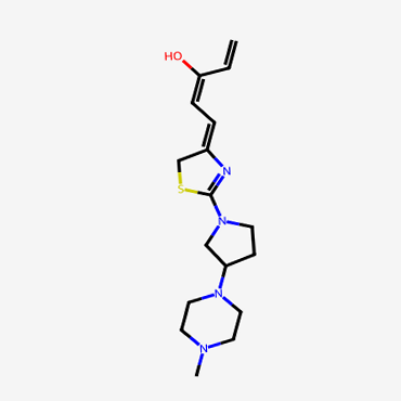 C=C/C(O)=C\C=C1/CSC(N2CCC(N3CCN(C)CC3)C2)=N1